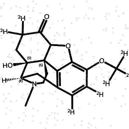 [2H]c1c([2H])c(OC([2H])([2H])[2H])c2c3c1C[C@H]1N(C)CC[C@@]34C(O2)C(=O)C([2H])([2H])C[C@@]14O